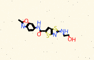 Cc1nc2ccc(NC(=O)c3cc4sc(NCCO)nc4s3)cc2o1